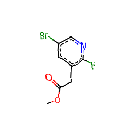 COC(=O)Cc1cc(Br)cnc1F